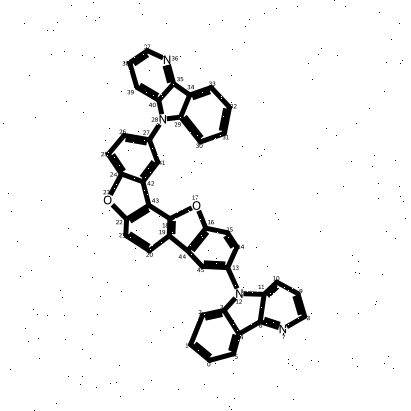 c1ccc2c(c1)c1ncccc1n2-c1ccc2oc3c(ccc4oc5ccc(-n6c7ccccc7c7ncccc76)cc5c43)c2c1